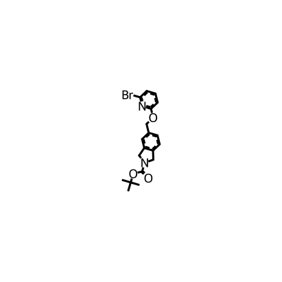 CC(C)(C)OC(=O)N1Cc2ccc(COc3cccc(Br)n3)cc2C1